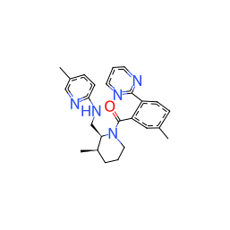 Cc1ccc(NC[C@@H]2[C@H](C)CCCN2C(=O)c2cc(C)ccc2-c2ncccn2)nc1